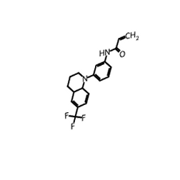 C=CC(=O)Nc1cccc(N2CCCC3C=C(C(F)(F)F)C=CC32)c1